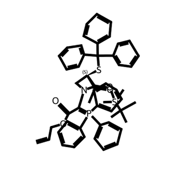 C=CCOC(=O)C(N1C[C@](SC(c2ccccc2)(c2ccccc2)c2ccccc2)(C(C)O[Si](C)(C)C(C)(C)C)C1=O)=P(c1ccccc1)(c1ccccc1)c1ccccc1